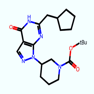 CC(C)(C)OC(=O)N1CCCC(n2ncc3c(=O)[nH]c(CC4CCCC4)nc32)C1